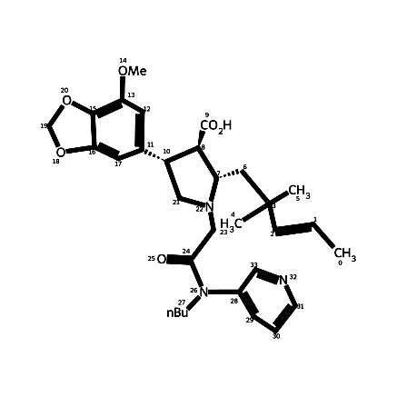 C/C=C/C(C)(C)C[C@H]1[C@H](C(=O)O)[C@@H](c2cc(OC)c3c(c2)OCO3)CN1CC(=O)N(CCCC)c1cccnc1